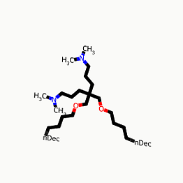 CCCCCCCCCCCCCCOCC(CCCN(C)C)(CCCN(C)C)COCCCCCCCCCCCCCC